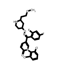 COCCC1CC(ON=C(c2ccc(=O)n(-c3c(Cl)cccc3Cl)c2)c2ccc(F)cc2F)CCN1